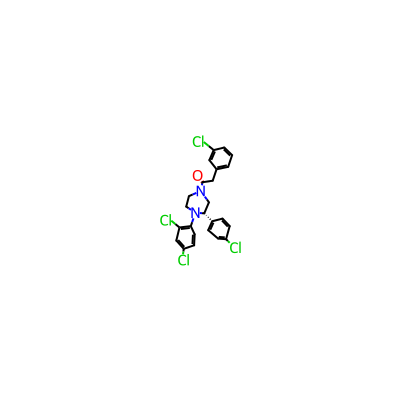 O=C(Cc1cccc(Cl)c1)N1CCN(c2ccc(Cl)cc2Cl)[C@@H](c2ccc(Cl)cc2)C1